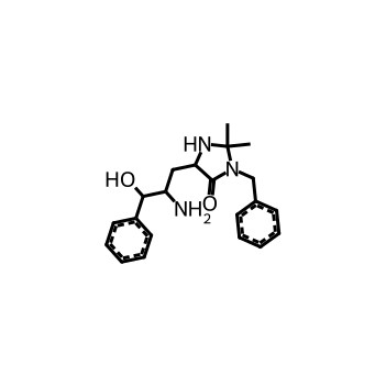 CC1(C)NC(CC(N)C(O)c2ccccc2)C(=O)N1Cc1ccccc1